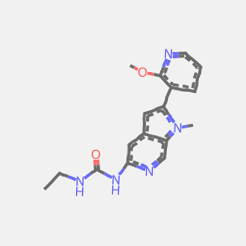 CCNC(=O)Nc1cc2cc(-c3cccnc3OC)n(C)c2cn1